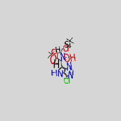 CC1(C)O[C@@H]2[C@H](O1)[C@@H](CO[Si](C)(C)C(C)(C)C)N(O)[C@H]2c1c[nH]c2c(Cl)ncnc12